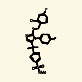 CNS(=O)(=O)c1ccc(C(C)(C)c2cnc(SCc3ccc(F)cc3Cl)n2-c2ccc(F)cc2)cc1